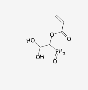 C=CC(=O)OC([PH2]=O)C(O)O